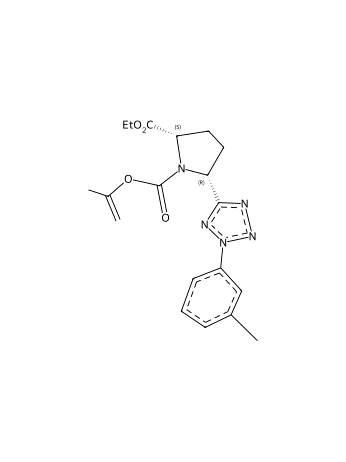 C=C(C)OC(=O)N1[C@@H](c2nnn(-c3cccc(C)c3)n2)CC[C@H]1C(=O)OCC